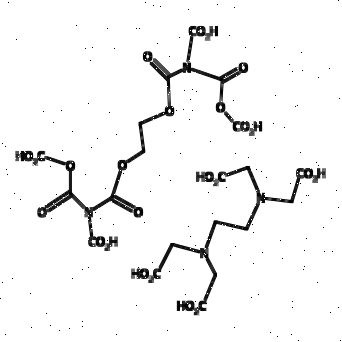 O=C(O)CN(CCN(CC(=O)O)CC(=O)O)CC(=O)O.O=C(O)OC(=O)N(C(=O)O)C(=O)OCCOC(=O)N(C(=O)O)C(=O)OC(=O)O